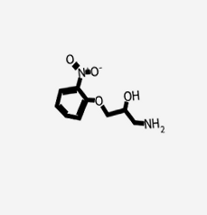 NCC(O)COc1ccccc1[N+](=O)[O-]